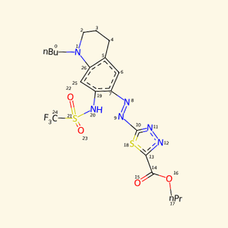 CCCCN1CCCc2cc(N=Nc3nnc(C(=O)OCCC)s3)c(NS(=O)(=O)C(F)(F)F)cc21